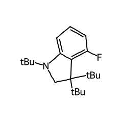 CC(C)(C)N1CC(C(C)(C)C)(C(C)(C)C)c2c(F)cccc21